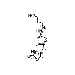 N#CCC/C=N\Nc1ccc(C[C@H]2COC(=O)N2)cc1